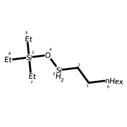 CCCCCCCC[SiH2]O[Si](CC)(CC)CC